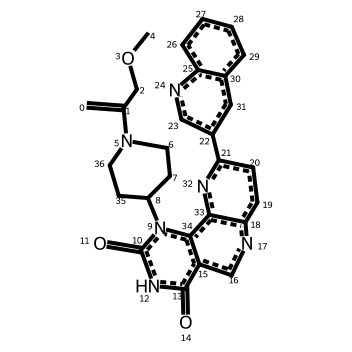 C=C(COC)N1CCC(n2c(=O)[nH]c(=O)c3cnc4ccc(-c5cnc6ccccc6c5)nc4c32)CC1